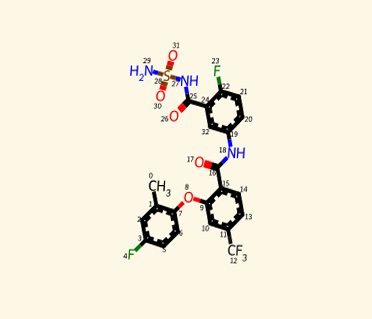 Cc1cc(F)ccc1Oc1cc(C(F)(F)F)ccc1C(=O)Nc1ccc(F)c(C(=O)NS(N)(=O)=O)c1